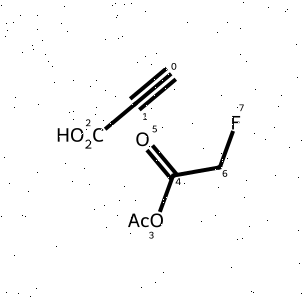 C#CC(=O)O.CC(=O)OC(=O)CF